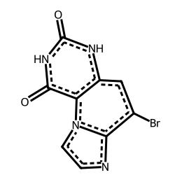 O=c1[nH]c(=O)c2c(cc(Br)c3nccn32)[nH]1